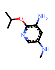 CNc1cnc(OC(C)C)c(N)c1